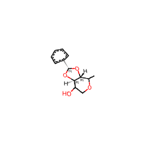 CC1OCC(O)[C@H]2O[C@H](c3ccccc3)O[C@H]12